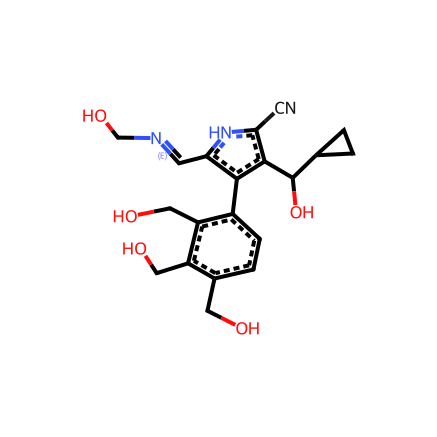 N#Cc1[nH]c(/C=N/CO)c(-c2ccc(CO)c(CO)c2CO)c1C(O)C1CC1